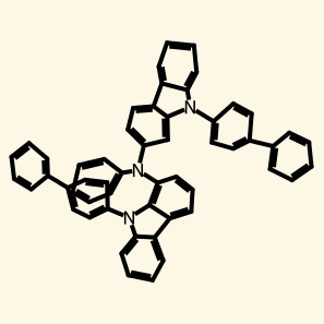 c1ccc(-c2ccc(-n3c4ccccc4c4ccc(N(c5ccccc5)c5cccc6c7ccccc7n(-c7ccc(-c8ccccc8)cc7)c56)cc43)cc2)cc1